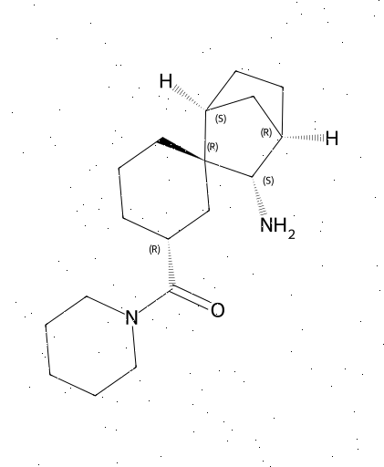 N[C@H]1[C@@H]2CC[C@@H](C2)[C@]12CCC[C@@H](C(=O)N1CCCCC1)C2